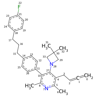 C=C=CCc1c(C)nc(C)c(-c2ccc(CCCc3ccc(F)cc3)cc2)c1N1CC(C)(C)C1